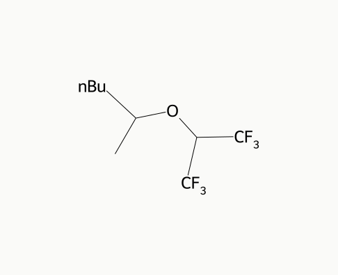 CCCCC(C)OC(C(F)(F)F)C(F)(F)F